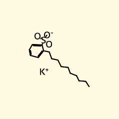 CCCCCCCCCCc1ccccc1S(=O)(=O)[O-].[K+]